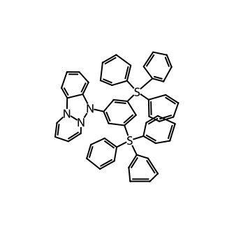 C1=CN2c3ccccc3N(c3cc(S(c4ccccc4)(c4ccccc4)c4ccccc4)cc(S(c4ccccc4)(c4ccccc4)c4ccccc4)c3)N2C=C1